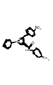 Cc1ccc(NC(=O)c2cn(-c3ccccc3)nc2-c2ccc([N+](=O)[O-])cc2)cc1